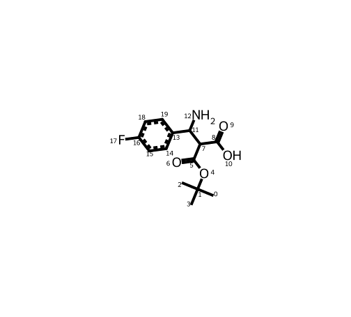 CC(C)(C)OC(=O)C(C(=O)O)C(N)c1ccc(F)cc1